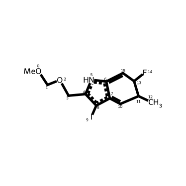 COCOCc1[nH]c2c(c1I)=CC(C)C(F)C=2